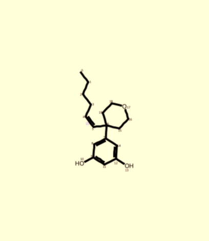 CCCC/C=C\C1(c2cc(O)cc(O)c2)CCOCC1